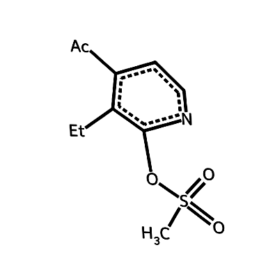 CCc1c(C(C)=O)ccnc1OS(C)(=O)=O